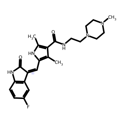 Cc1[nH]c(/C=C2\C(=O)Nc3ccc(F)cc32)c(C)c1C(=O)NCCN1CCN(C)CC1